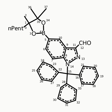 CCCCCC1(C)OB(c2ccc3c(c2)c(C=O)nn3C(c2ccccc2)(c2ccccc2)c2ccccc2)OC1(C)C